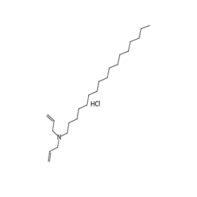 C=CCN(CC=C)CCCCCCCCCCCCCCCCC.Cl